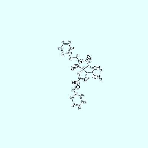 CC(C)CC1(CC(=O)NOCc2ccccc2)CC(=O)N(CCc2ccccc2)C1=O